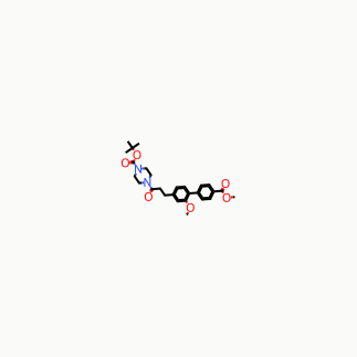 COC(=O)c1ccc(-c2ccc(CCC(=O)N3CCN(C(=O)OC(C)(C)C)CC3)cc2OC)cc1